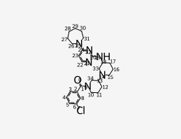 O=C(c1cccc(Cl)c1)N1CCCC(N2CCCC(Nc3nccc(N4CCCCCC4)n3)C2)C1